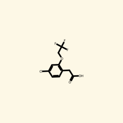 O=C(O)Cc1ccc(Cl)cc1OCC(F)(F)F